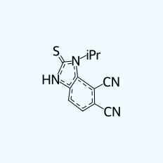 CC(C)n1c(=S)[nH]c2ccc(C#N)c(C#N)c21